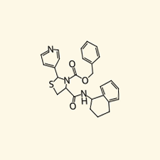 O=C(NC1CCCc2ccccc21)C1CSC(c2ccncc2)N1C(=O)OCc1ccccc1